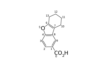 O=C(O)c1ccc2oc3c(c2c1)CCCC3